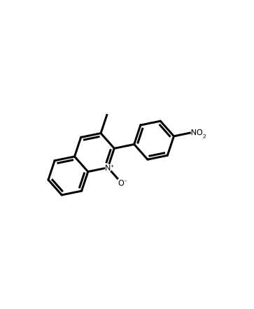 Cc1cc2ccccc2[n+]([O-])c1-c1ccc([N+](=O)[O-])cc1